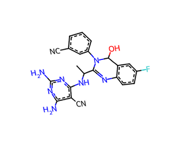 CC(Nc1nc(N)nc(N)c1C#N)C1=Nc2ccc(F)cc2C(O)N1c1cccc(C#N)c1